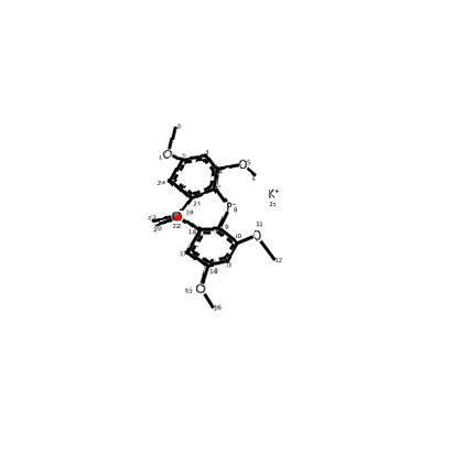 COc1cc(OC)c([P-]c2c(OC)cc(OC)cc2OC)c(OC)c1.[K+]